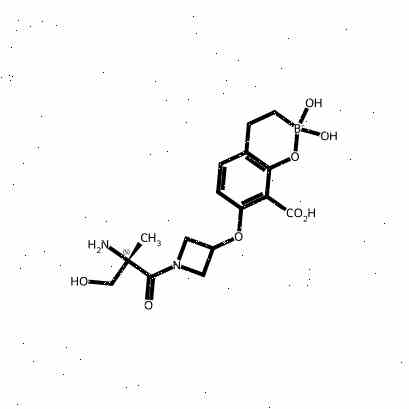 C[C@](N)(CO)C(=O)N1CC(Oc2ccc3c(c2C(=O)O)O[B-](O)(O)CC3)C1